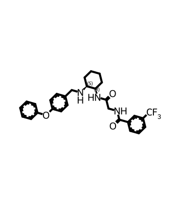 O=C(CNC(=O)c1cccc(C(F)(F)F)c1)N[C@@H]1CCCC[C@@H]1NCc1ccc(Oc2ccccc2)cc1